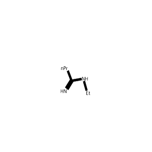 CCCC(=N)NCC